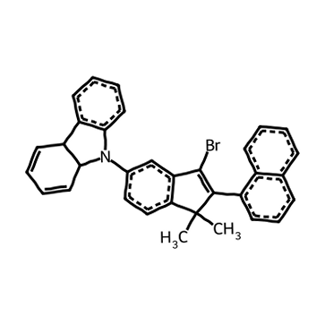 CC1(C)C(c2cccc3ccccc23)=C(Br)c2cc(N3c4ccccc4C4C=CC=CC43)ccc21